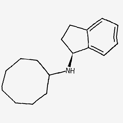 c1ccc2c(c1)CC[C@@H]2NC1CCCCCCC1